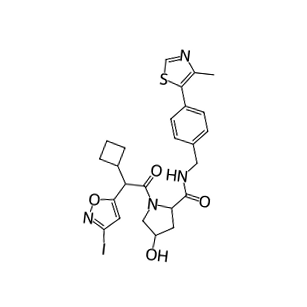 Cc1ncsc1-c1ccc(CNC(=O)C2CC(O)CN2C(=O)C(c2cc(I)no2)C2CCC2)cc1